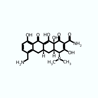 CN(C)[C@@H]1C(O)=C(C(N)=O)C(=O)[C@@]2(O)C(O)=C3C(=O)c4c(O)ccc(CN)c4C[C@H]3C[C@@H]12